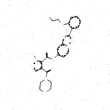 Cn1ncc(C(=O)N2CCOCC2)c1C(=O)Nc1ccn2nc(-c3ccccc3OCCF)nc2c1